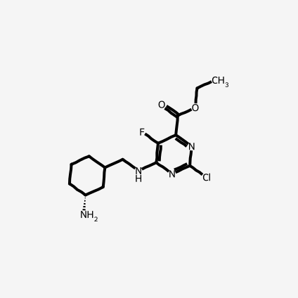 CCOC(=O)c1nc(Cl)nc(NCC2CCC[C@@H](N)C2)c1F